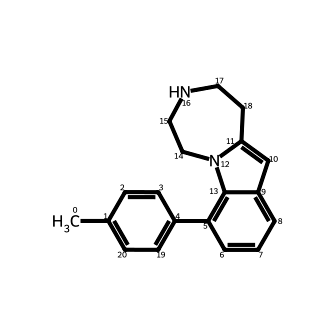 Cc1ccc(-c2cccc3cc4n(c23)CCNCC4)cc1